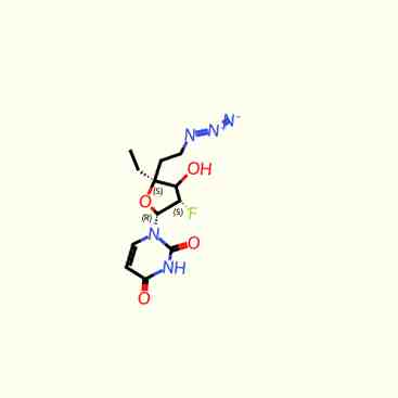 CC[C@@]1(CCN=[N+]=[N-])O[C@@H](n2ccc(=O)[nH]c2=O)[C@@H](F)C1O